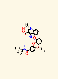 COc1ccc(C(=O)NC(C)C)cc1O[C@@H]1CCCC[C@H]1Oc1cccc2nc(C)c(C(=O)O)c(N)c12